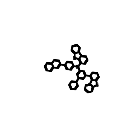 c1ccc(-c2cc(-c3cccc4sc5ccccc5c34)cc(N(c3ccc(-c4ccc5ccccc5c4)cc3)c3cccc4c3sc3ccccc34)c2)cc1